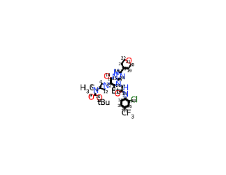 CCc1c(N2CC(N(C)C(=O)OC(C)(C)C)C2)c(=O)n2nc(C3=CCOCC3)nc2n1CC(=O)Nc1ccc(C(F)(F)F)cc1Cl